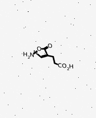 Nn1cc(CCC(=O)O)c(=O)o1